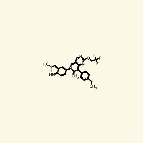 C=C1C(c2ccc(CC)cc2)=c2nc(OCC(F)(F)F)ncc2=CN1C1=C/C(=C/NC)C(=N)C=C1